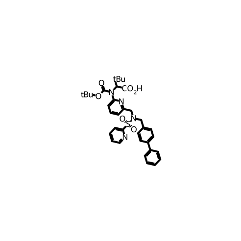 CC(C)(C)OC(=O)N(c1cccc(CN(Cc2ccc(-c3ccccc3)cc2)S(=O)(=O)c2ccccn2)n1)C(C(=O)O)C(C)(C)C